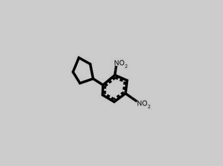 O=[N+]([O-])c1ccc(C2CCCC2)c([N+](=O)[O-])c1